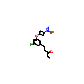 CCC(=O)CCc1cc(F)cc(O[C@H]2C[C@@H](NS)C2)c1